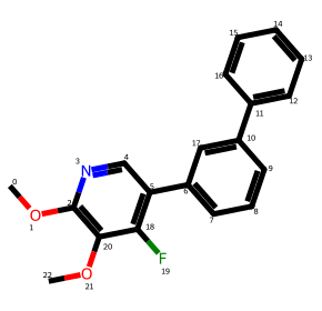 COc1ncc(-c2cccc(-c3ccccc3)c2)c(F)c1OC